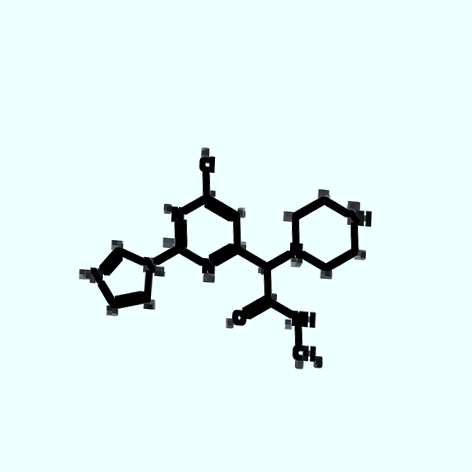 CNC(=O)C(c1cc(Cl)nc(-n2ccnc2)n1)N1CCNCC1